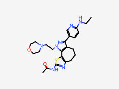 CCNc1ccc(-c2nn(CCN3CCOCC3)c3c2CCCc2nc(NC(C)=O)sc2-3)cn1